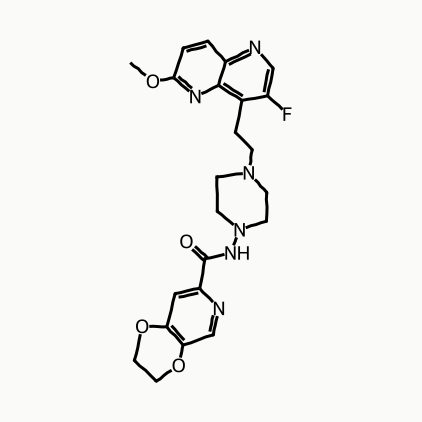 COc1ccc2ncc(F)c(CCN3CCN(NC(=O)c4cc5c(cn4)OCCO5)CC3)c2n1